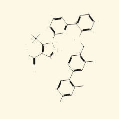 Cc1cc(-c2ccc(F)cc2C)ccc1COc1ccccc1-c1cccc(-n2ncc(C(=O)O)c2C(F)(F)F)n1